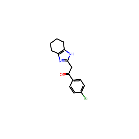 O=C(Cc1nc2c([nH]1)CCCC2)c1ccc(Br)cc1